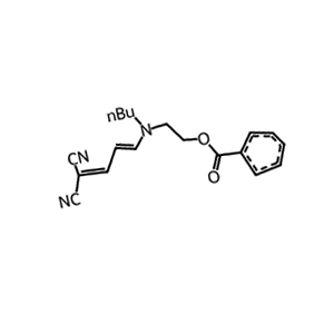 CCCCN(/C=C/C=C(C#N)C#N)CCOC(=O)c1ccccc1